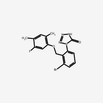 Cc1cc(C)c(OCc2c(Br)cccc2-n2nn[nH]c2=O)cc1F